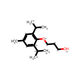 Cc1cc(C(C)C)c(OCCCO)c(C(C)C)c1